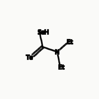 CCN(CC)C([SeH])=[Te]